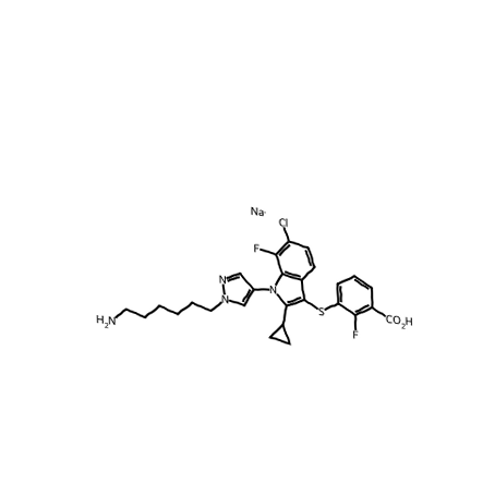 NCCCCCCn1cc(-n2c(C3CC3)c(Sc3cccc(C(=O)O)c3F)c3ccc(Cl)c(F)c32)cn1.[Na]